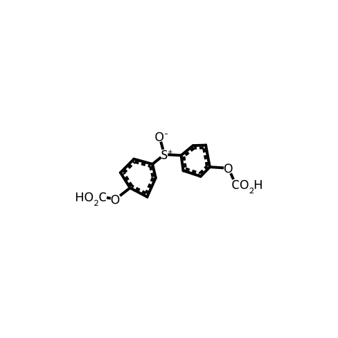 O=C(O)Oc1ccc([S+]([O-])c2ccc(OC(=O)O)cc2)cc1